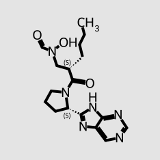 CCCC[C@@H](CN(O)C=O)C(=O)N1CCC[C@H]1c1nc2cncnc2[nH]1